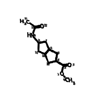 COC(=O)C1CC2CC(NC(C)=O)CC2C1